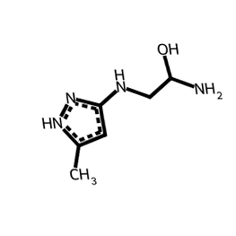 Cc1cc(NCC(N)O)n[nH]1